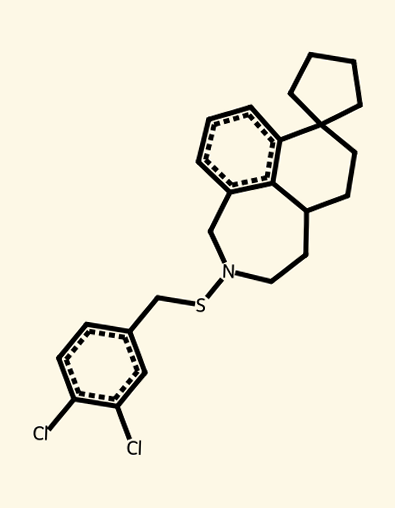 Clc1ccc(CSN2CCC3CCC4(CCCC4)c4cccc(c43)C2)cc1Cl